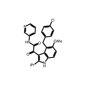 COc1ccc2[nH]c(C(C)C)c(C(=O)C(=O)Nc3cccnc3)c2c1Cc1ccc(Cl)cc1